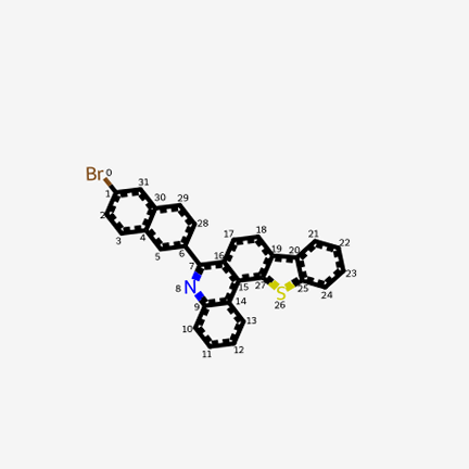 Brc1ccc2cc(-c3nc4ccccc4c4c3ccc3c5ccccc5sc34)ccc2c1